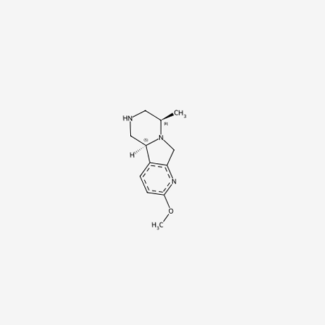 COc1ccc2c(n1)CN1[C@H](C)CNC[C@H]21